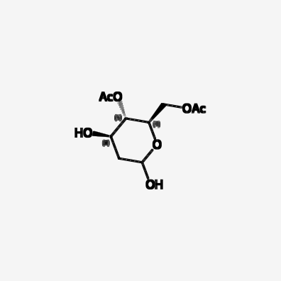 CC(=O)OC[C@H]1OC(O)C[C@@H](O)[C@@H]1OC(C)=O